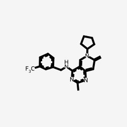 C=C1C=c2nc(C)nc(NCc3cccc(C(F)(F)F)c3)c2=CN1C1CCCC1